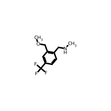 CNCc1ccc(C(F)(F)F)cc1COC